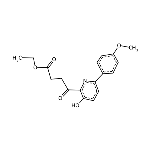 CCOC(=O)CCC(=O)c1nc(-c2ccc(OC)cc2)ccc1O